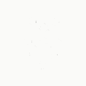 c1ccc(-c2nc(-c3ccccc3)nc(-c3cc4cc(c3)n3c5ccccc5c5ccc(cc53)c3ccccc3c3ccc5c6ccccc6n4c5c3)n2)cc1